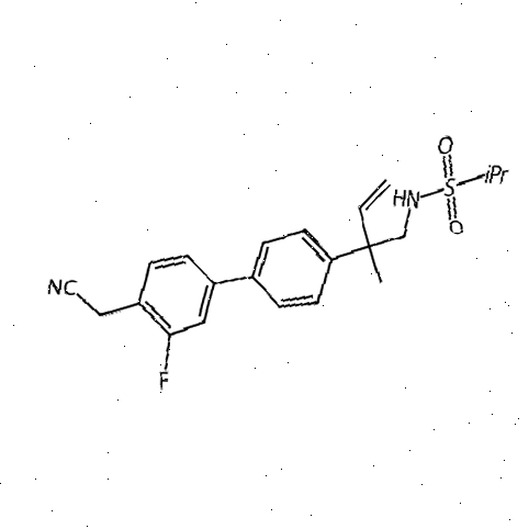 C=CC(C)(CNS(=O)(=O)C(C)C)c1ccc(-c2ccc(CC#N)c(F)c2)cc1